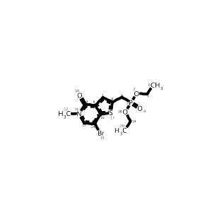 CCOP(=O)(Cc1cc2c(=O)n(C)cc(Br)c2s1)OCC